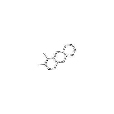 Cc1ccc2cc3ccccc3cc2c1C